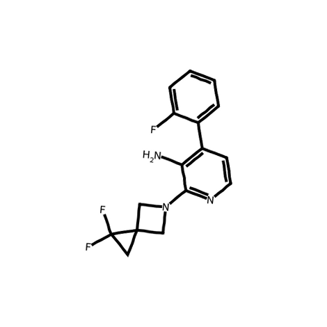 Nc1c(-c2ccccc2F)ccnc1N1CC2(C1)CC2(F)F